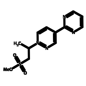 COS(=O)(=O)CC(C)[n+]1ccc(-c2ncccn2)cn1